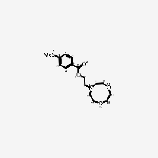 CSc1ccc(C(=O)OCCN2CCOCCOCC2)cc1